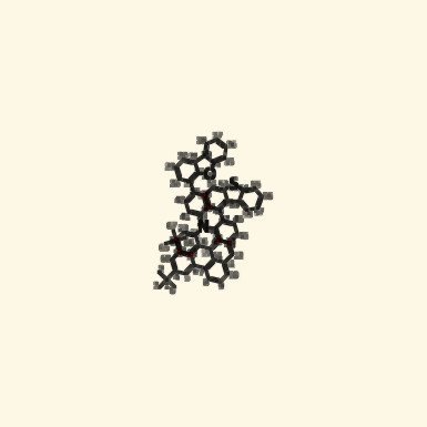 CC(C)(C)c1cc(-c2cccc3cccc(-c4ccccc4N(c4ccc(-c5cccc6c5oc5ccccc56)cc4)c4ccccc4-c4cccc5sc6ccccc6c45)c23)cc(C(C)(C)C)c1